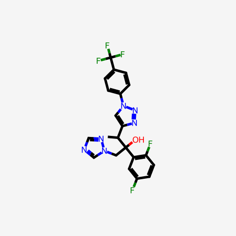 CC(c1cn(-c2ccc(C(F)(F)F)cc2)nn1)C(O)(Cn1cncn1)c1cc(F)ccc1F